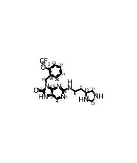 O=c1[nH]c2cnc(NCCC3CNCN3)nc2n1Cc1ccccc1OC(F)(F)F